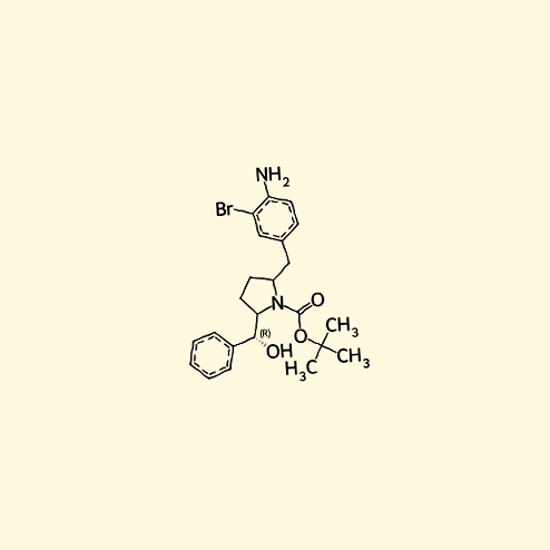 CC(C)(C)OC(=O)N1C(Cc2ccc(N)c(Br)c2)CCC1[C@H](O)c1ccccc1